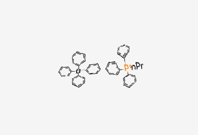 CCC[P+](c1ccccc1)(c1ccccc1)c1ccccc1.c1ccc([B-](c2ccccc2)(c2ccccc2)c2ccccc2)cc1